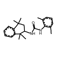 Cc1cccc(C)c1NC(=O)NC1CC(C)(C)c2ccccc2C1(C)C